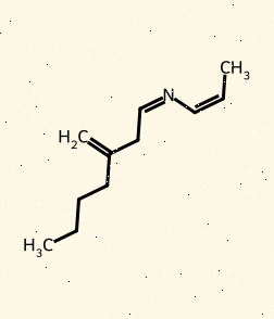 C=C(C/C=N\C=C/C)CCCC